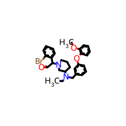 CCN(Cc1cccc(Oc2ccccc2OC)c1)C1CCCN(C(C=O)c2ccccc2Br)C1